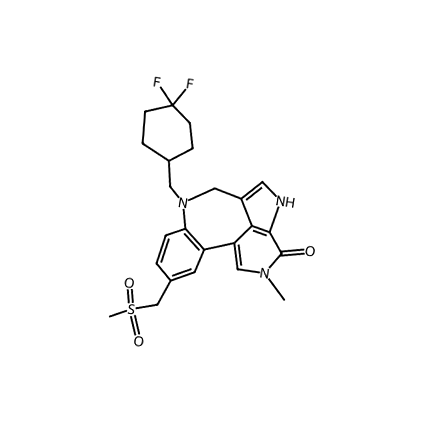 Cn1cc2c3c(c[nH]c3c1=O)CN(CC1CCC(F)(F)CC1)c1ccc(CS(C)(=O)=O)cc1-2